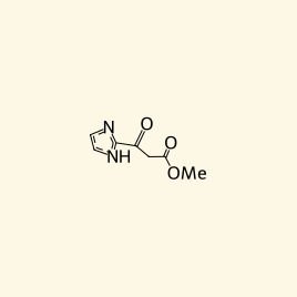 COC(=O)CC(=O)c1ncc[nH]1